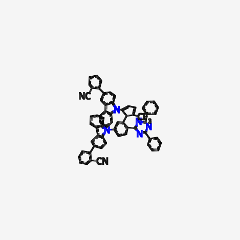 N#Cc1ccccc1-c1ccc2c(c1)c1ccccc1n2C1=CC=C(C(F)(F)F)C1c1cc(-n2c3ccccc3c3cc(-c4ccccc4C#N)ccc32)ccc1-c1nc(-c2ccccc2)nc(-c2ccccc2)n1